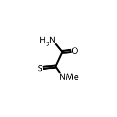 CNC(=S)C(N)=O